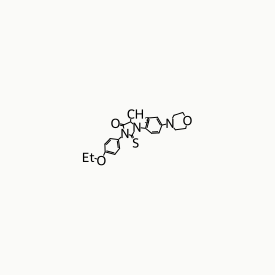 CCOc1ccc(N2C(=O)C(C)N(c3ccc(N4CCOCC4)cc3)C2=S)cc1